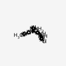 CN1CCN(C2CCC(n3cc(-c4ccc(Nc5nc6ccc(Cl)cc6[nH]5)cc4)c4c(N)ncnc43)CC2)CC1